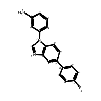 Nc1cccc(-n2cnc3cc(-c4ccc(F)cc4)ccc32)c1